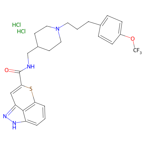 Cl.Cl.O=C(NCC1CCN(CCCc2ccc(OC(F)(F)F)cc2)CC1)C1=Cc2n[nH]c3cccc(c23)S1